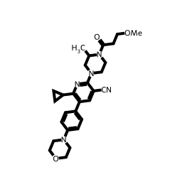 COCCC(=O)N1CCN(c2nc(C3CC3)c(-c3ccc(N4CCOCC4)cc3)cc2C#N)CC1C